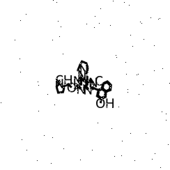 Cc1cccc2cc(O)cc(-c3ncc4c(N5CC6CCC(C5)N6)nc(OCC5CCCN5C)nc4n3)c12